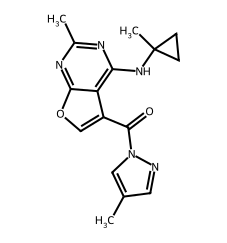 Cc1cnn(C(=O)c2coc3nc(C)nc(NC4(C)CC4)c23)c1